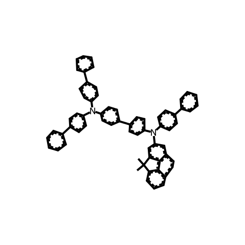 CC1(C)c2cccc3ccc4cc(N(c5ccc(-c6ccccc6)cc5)c5ccc(-c6ccc(N(c7ccc(-c8ccccc8)cc7)c7ccc(-c8ccccc8)cc7)cc6)cc5)cc1c4c23